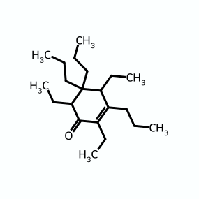 CCCC1=C(CC)C(=O)C(CC)C(CCC)(CCC)C1CC